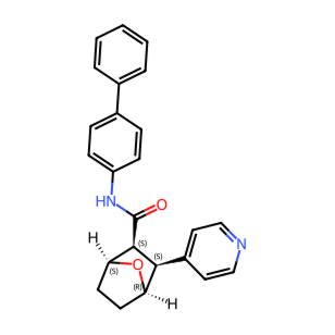 O=C(Nc1ccc(-c2ccccc2)cc1)[C@H]1[C@@H](c2ccncc2)[C@H]2CC[C@@H]1O2